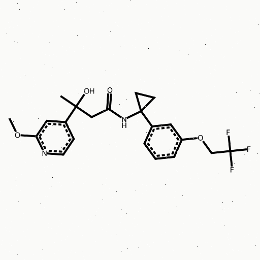 COc1cc(C(C)(O)CC(=O)NC2(c3cccc(OCC(F)(F)F)c3)CC2)ccn1